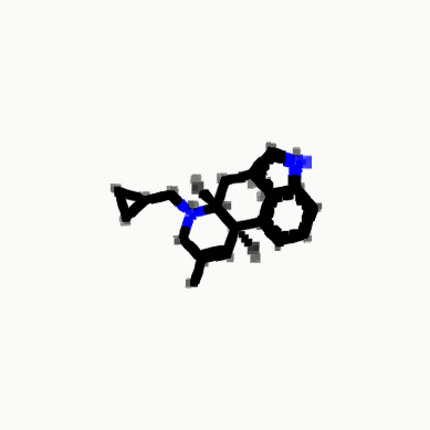 CC1=C[C@@H]2c3cccc4[nH]cc(c34)C[C@H]2N(CC2CC2)C1